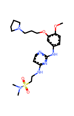 COc1ccc(Nc2nccc(NCCS(=O)(=O)N(C)C)n2)cc1OCCCN1CCCC1